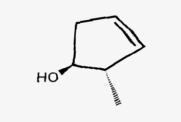 C[C@H]1C=CC[C@@H]1O